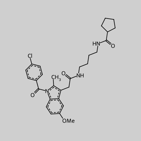 COc1ccc2c(c1)c(CC(=O)NCCCCNC(=O)C1CCCC1)c(C)n2C(=O)c1ccc(Cl)cc1